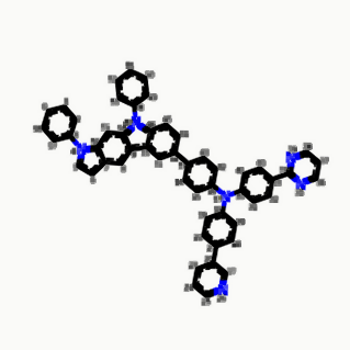 c1ccc(-n2ccc3cc4c5cc(-c6ccc(N(c7ccc(-c8cccnc8)cc7)c7ccc(-c8ncccn8)cc7)cc6)ccc5n(-c5ccccc5)c4cc32)cc1